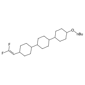 CCCCOC1CCC(C2CCC(C3CCC(C=C(F)F)CC3)CC2)CC1